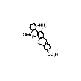 COc1cccc(N)c1-c1c(F)cc2c(c1F)OC[C@H]1CN(C(=O)O)CCN1C2